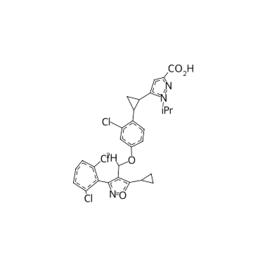 [2H]C(Oc1ccc(C2CC2c2cc(C(=O)O)nn2C(C)C)c(Cl)c1)c1c(-c2c(Cl)cccc2Cl)noc1C1CC1